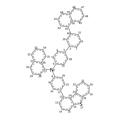 c1cc(-c2ccc(N(c3ccc(-c4cccc5sc6ccccc6c45)cc3)c3cccc4ccccc34)cc2)cc(-c2cccc3ccccc23)c1